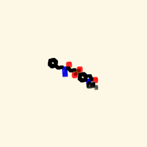 CN1C(=O)Cc2cc(S(=O)(=O)CCC(=O)NCCc3ccccc3)ccc21